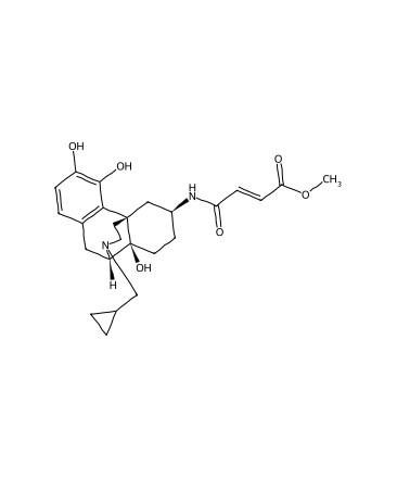 COC(=O)/C=C/C(=O)N[C@H]1CC[C@]2(O)[C@@H]3Cc4ccc(O)c(O)c4[C@]2(CCN3CC2CC2)C1